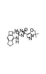 C[C@H]1Cc2cc3c(c(NC(=O)N=[S@@](N)(=O)c4cnn5c4OCC5(C)C)c21)CCC3